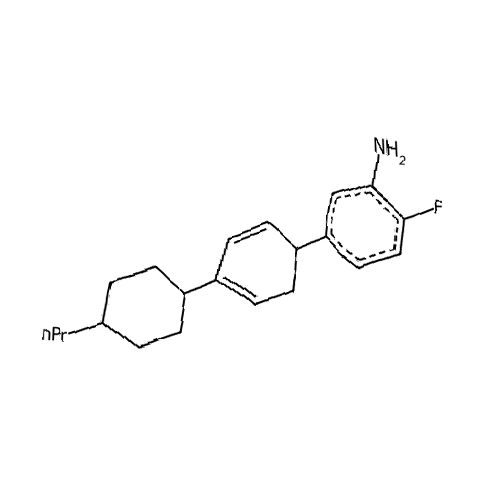 CCCC1CCC(C2=CCC(c3ccc(F)c(N)c3)C=C2)CC1